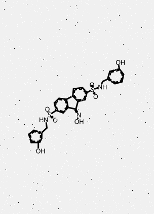 O=S(=O)(NCc1cccc(O)c1)c1ccc2c(c1)C(=NO)c1cc(S(=O)(=O)NCc3cccc(O)c3)ccc1-2